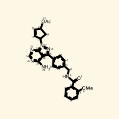 COc1ccccc1C(=O)NCc1ccc(-c2nn(C3C=CC(OC(C)=O)C3)c3ncnc(N)c23)cc1